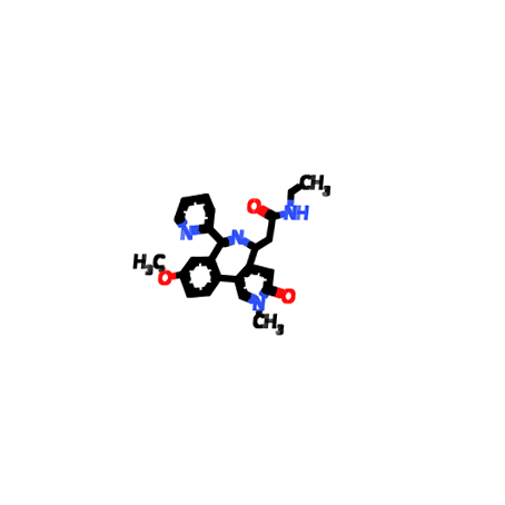 CCNC(=O)CC1N=C(c2ccccn2)c2cc(OC)ccc2-c2cn(C)c(=O)cc21